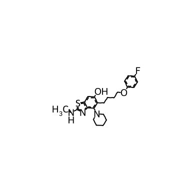 CNc1nc2c(N3CCCCC3)c(CCCCOc3ccc(F)cc3)c(O)cc2s1